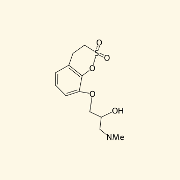 CNCC(O)COc1cccc2c1OS(=O)(=O)CC2